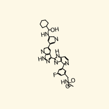 CS(=O)(=O)NCc1cc(F)cc(-c2nccc3[nH]c(-c4n[nH]c5ncc(-c6cncc(NC(O)C7CCCCC7)c6)cc45)nc23)c1